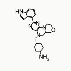 N[C@H]1CC[C@H](CN2CC3COCCN3c3nc(-c4cccc5[nH]ccc45)ncc32)CC1